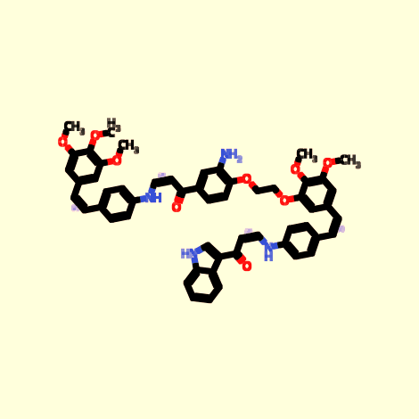 COc1cc(/C=C\c2ccc(N/C=C\C(=O)c3ccc(OCCOc4cc(/C=C\c5ccc(N/C=C\C(=O)c6c[nH]c7ccccc67)cc5)cc(OC)c4OC)c(N)c3)cc2)cc(OC)c1OC